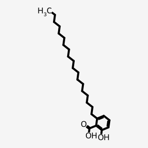 CCCCCCCCCCCCCCCCCCCc1cccc(O)c1C(=O)O